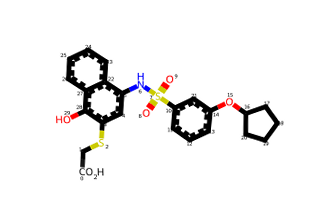 O=C(O)CSc1cc(NS(=O)(=O)c2cccc(OC3CCCC3)c2)c2ccccc2c1O